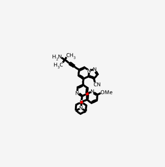 COc1ccc(CN2C3CC2CN(c2ccc(-c4cc(C#CC(C)(C)N)cn5ncc(C#N)c45)cn2)C3)cn1